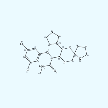 CNC(=O)C(Oc1cc(Cl)cc(Cl)c1)C1CCC2(CCCO2)CC1N1CCCC1